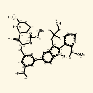 CCn1c(-c2cccnc2[C@H](C)OC)c(CC(C)(C)CO)c2cc(-c3cc(C[C@H](NC(=O)OC(C)(C)C)C(=O)N4CCCC(C(=O)O)N4)cc(C(F)F)c3)ccc21